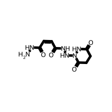 NNC(=O)/C=C\C(=O)NNN1NC(=O)CCC1=O